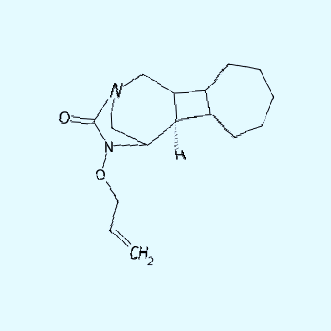 C=CCON1C(=O)N2CC3C4CCCCCC4[C@H]3C1C2